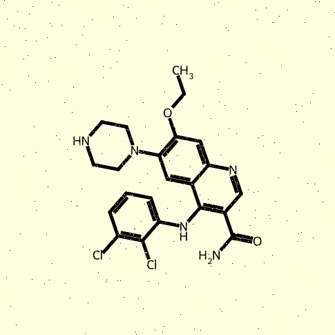 CCOc1cc2ncc(C(N)=O)c(Nc3cccc(Cl)c3Cl)c2cc1N1CCNCC1